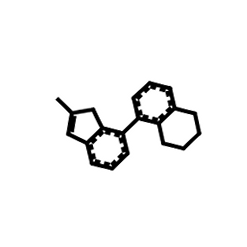 CC1=Cc2cccc(-c3cccc4c3CCCC4)c2C1